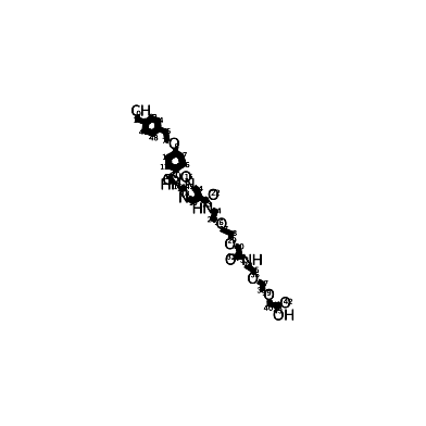 CCc1ccc(CCOc2ccc(S(=O)(=O)Nc3ncc(C(=O)NCCOCCOCC(=O)NCCOCCOCC(=O)O)cn3)cc2)cc1